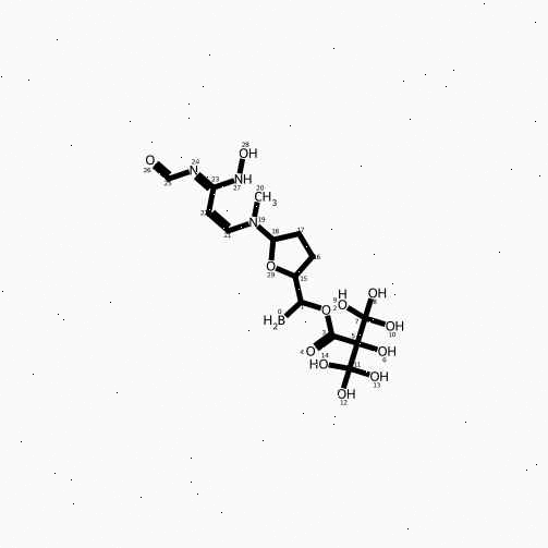 BC(OC(=O)C(O)(C(O)(O)O)C(O)(O)O)C1CCC(N(C)/C=C\C(=N/C=O)NO)O1